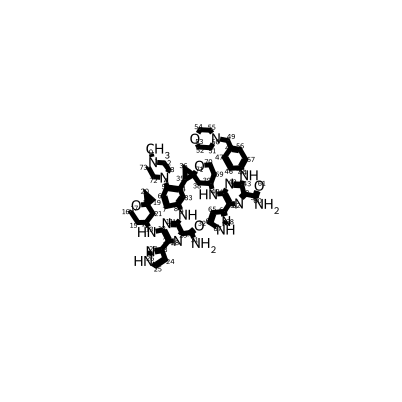 CN1CCN(c2ccc(Nc3nc(NC4CCOC5(CC5)C4)c(-c4cc[nH]n4)nc3C(N)=O)cc2C2CC23CC(Nc2nc(Nc4ccc(CN5CCOCC5)cc4)c(C(N)=O)nc2-c2cc[nH]n2)CCO3)CC1